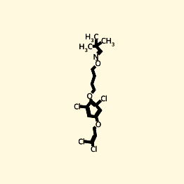 CC(C)(C)C=NOCCCCOc1c(Cl)cc(OCC=C(Cl)Cl)cc1Cl